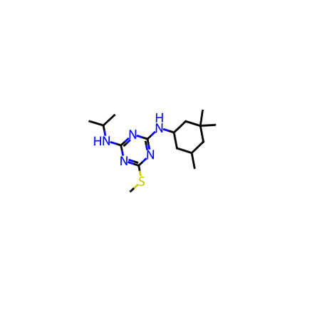 CSc1nc(NC(C)C)nc(NC2CC(C)CC(C)(C)C2)n1